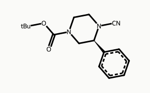 CC(C)(C)OC(=O)N1CCN(C#N)[C@@H](c2ccccc2)C1